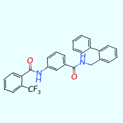 O=C(NCc1ccccc1-c1ccccc1)c1cccc(NC(=O)c2ccccc2C(F)(F)F)c1